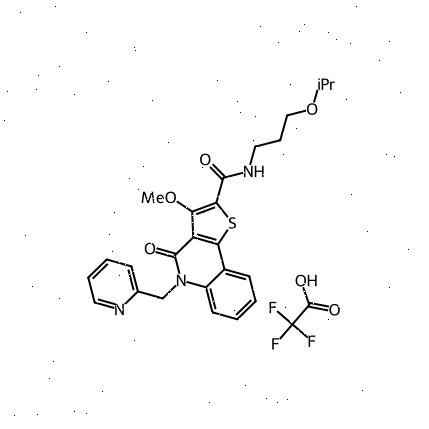 COc1c(C(=O)NCCCOC(C)C)sc2c1c(=O)n(Cc1ccccn1)c1ccccc21.O=C(O)C(F)(F)F